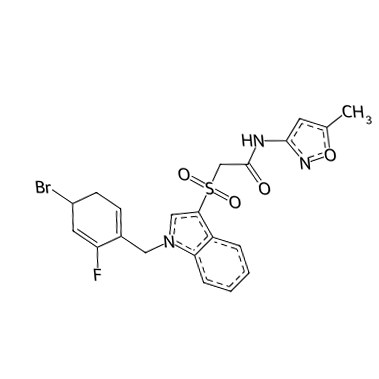 Cc1cc(NC(=O)CS(=O)(=O)c2cn(CC3=CCC(Br)C=C3F)c3ccccc23)no1